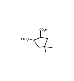 CCOC(=O)N1CC(C)(C)CC1C(=O)O